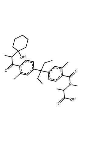 CCC(CC)(c1ccc(C(=O)C(C)C2(O)CCCCC2)c(C)c1)c1ccc(C(=O)N(C)C(C)C(=O)O)c(C)c1